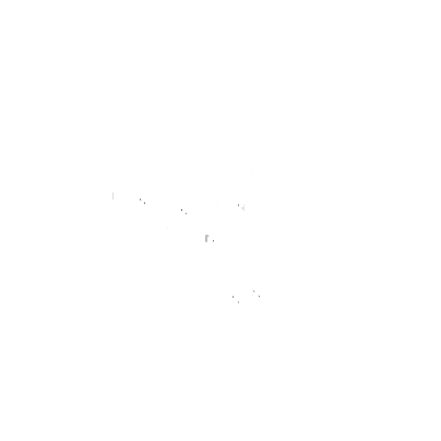 CCN1CCN(C(=O)NC(C(=O)N[C@H]2Cc3cccc(C(=O)O)c3OB2O)c2cnn(C)c2)C(=O)C1=O